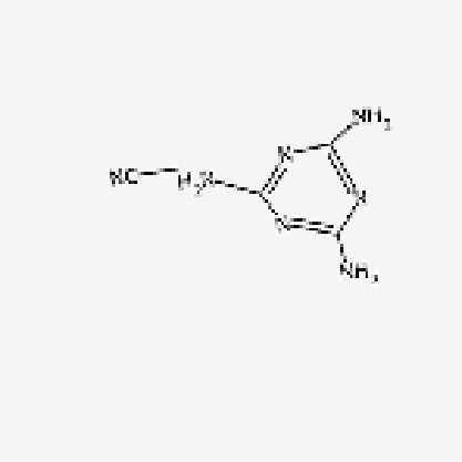 CC#N.Nc1nc(N)nc(N)n1